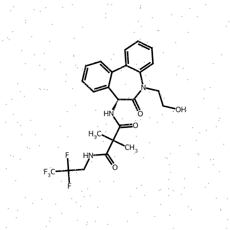 CC(C)(C(=O)NCC(F)(F)C(F)(F)F)C(=O)N[C@@H]1C(=O)N(CCO)c2ccccc2-c2ccccc21